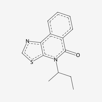 CCC(C)n1c(=O)c2ccccc2c2ncsc21